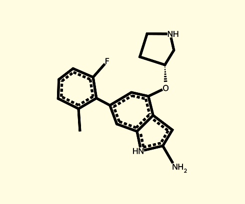 Cc1cccc(F)c1-c1cc(O[C@@H]2CCNC2)c2cc(N)[nH]c2c1